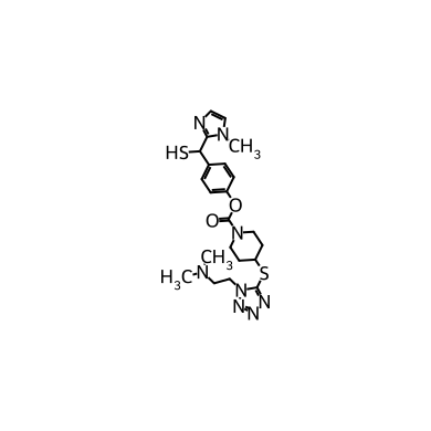 CN(C)CCn1nnnc1SC1CCN(C(=O)Oc2ccc(C(S)c3nccn3C)cc2)CC1